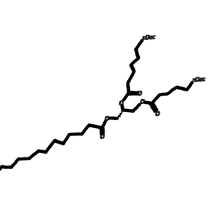 CCCCCCCCCCCCCCCCCCCCCC(=O)OC[C@@H](COC(=O)CCCCCCCCCCCCCC)OC(=O)CCCCCCCCCCCCCCC